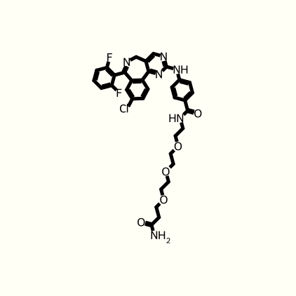 NC(=O)CCOCCOCCOCCNC(=O)c1ccc(Nc2ncc3c(n2)-c2ccc(Cl)cc2C(c2c(F)cccc2F)=NC3)cc1